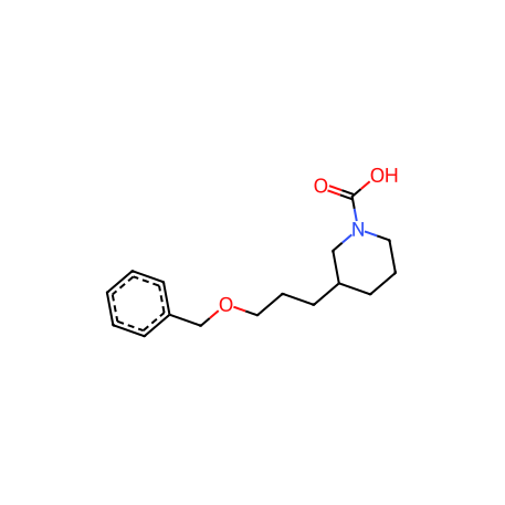 O=C(O)N1CCCC(CCCOCc2ccccc2)C1